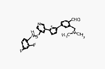 CN(C)Cc1cc(-c2ccc(-c3cncc(SNc4ccc(F)cc4F)c3)s2)ccc1C=O